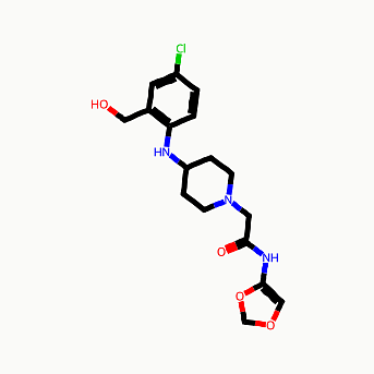 O=C(CN1CCC(Nc2ccc(Cl)cc2CO)CC1)NC1=COCO1